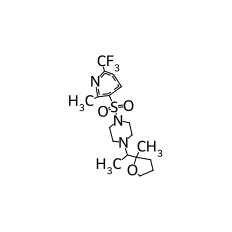 Cc1nc(C(F)(F)F)ccc1S(=O)(=O)N1CCN(C(C)C2(C)CCCO2)CC1